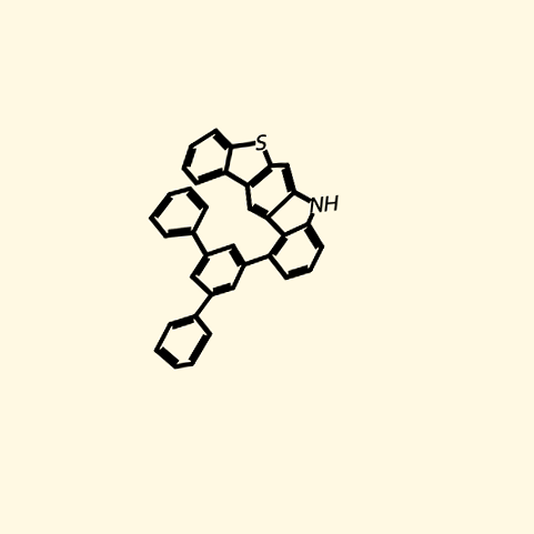 c1ccc(-c2cc(-c3ccccc3)cc(-c3cccc4[nH]c5cc6sc7ccccc7c6cc5c34)c2)cc1